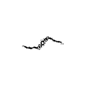 CC#CC#CC#COOCC1CCC(COOC#CC#CC#CC)CC1